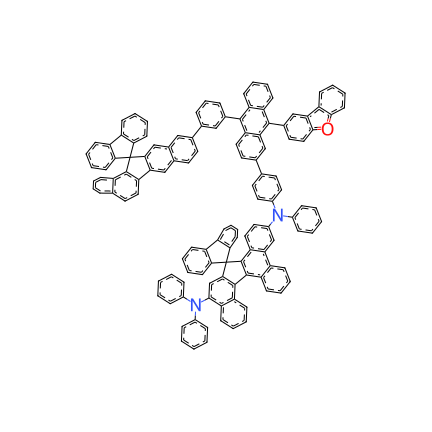 c1ccc(N(c2ccc(-c3ccc4c(-c5cccc(-c6ccc7cc8c(cc7c6)C6(c7ccccc7-c7ccccc76)c6c-8ccc7ccccc67)c5)c5ccccc5c(-c5ccc6oc7ccccc7c6c5)c4c3)cc2)c2ccc3c4c(c5ccccc5c3c2)-c2c(cc(N(c3ccccc3)c3ccccc3)c3ccccc23)C42c3ccccc3-c3ccccc32)cc1